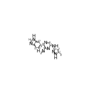 Cc1cc(Nc2cnc(-c3ccc4nc[nH]c4c3)c(N)n2)n[nH]1